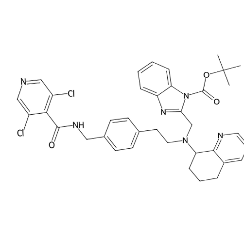 CC(C)(C)OC(=O)n1c(CN(CCc2ccc(CNC(=O)c3c(Cl)cncc3Cl)cc2)C2CCCc3cccnc32)nc2ccccc21